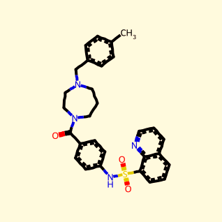 Cc1ccc(CN2CCCN(C(=O)c3ccc(NS(=O)(=O)c4cccc5cccnc45)cc3)CC2)cc1